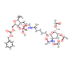 B[C@@H]1O[C@H](COC(=O)OCc2ccccc2)C(OP(O)(=S)OC)[C@@H]1CCCNC(=S)CCCCO[C@@H]1O[C@H](COC(C)=O)[C@H](OC(C)=O)[C@H](OC(C)=O)[C@H]1NC(C)=O